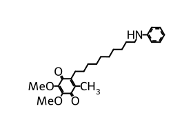 COC1=C(OC)C(=O)C(CCCCCCCCCCNc2ccccc2)=C(C)C1=O